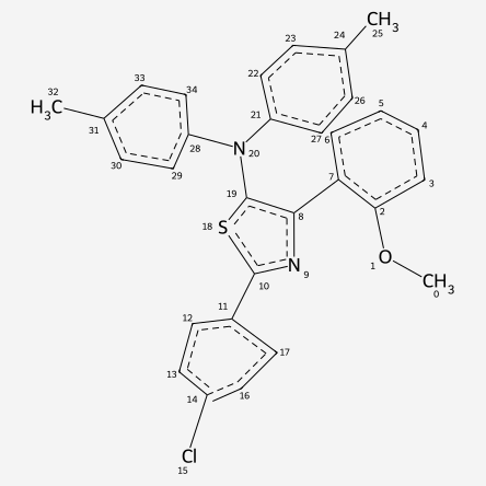 COc1ccccc1-c1nc(-c2ccc(Cl)cc2)sc1N(c1ccc(C)cc1)c1ccc(C)cc1